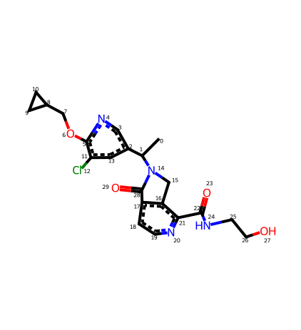 CC(c1cnc(OCC2CC2)c(Cl)c1)N1Cc2c(ccnc2C(=O)NCCO)C1=O